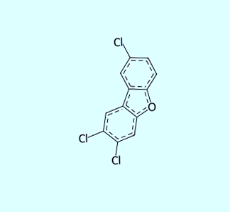 Clc1ccc2oc3cc(Cl)c(Cl)cc3c2c1